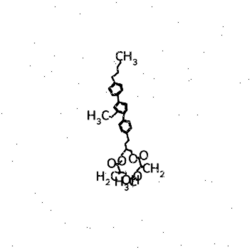 C=C(CO)C(=O)OCC(CCc1ccc(-c2ccc(-c3ccc(CCCCC)cc3)cc2CC)cc1)COC(=O)C(=C)COC